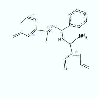 C=C/C=C(\C=C/C)C(/C)=C/C(NC(N)/C(C=C)=C/C=C)c1ccccc1